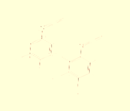 O=C=Nc1ccc(F)c(F)c1.O=C=Nc1ccc(F)c(F)c1F